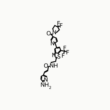 Nc1ccc(/C=C/C(=O)NCCc2nc3cc(-c4ccc(C(=O)N5CCC(F)(F)CC5)cn4)cc(C(F)(F)F)c3s2)cn1